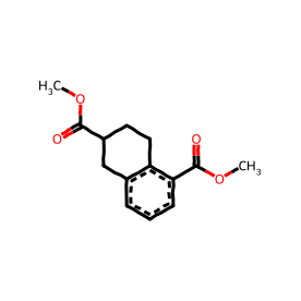 COC(=O)c1cccc2c1CCC(C(=O)OC)C2